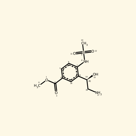 COC(=O)c1ccc(NS(C)(=O)=O)c([C@@H](O)CN)c1